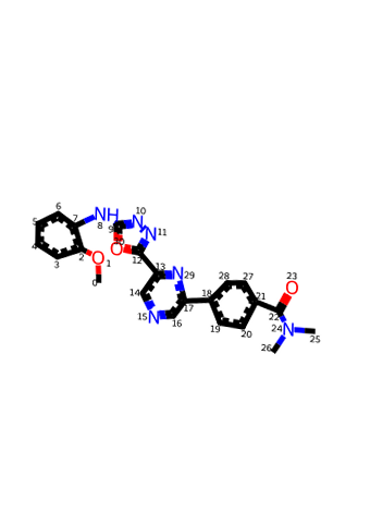 COc1ccccc1Nc1nnc(-c2cncc(-c3ccc(C(=O)N(C)C)cc3)n2)o1